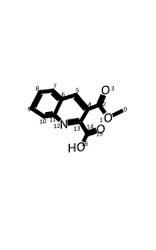 COC(=O)c1cc2ccccc2nc1C(=O)O